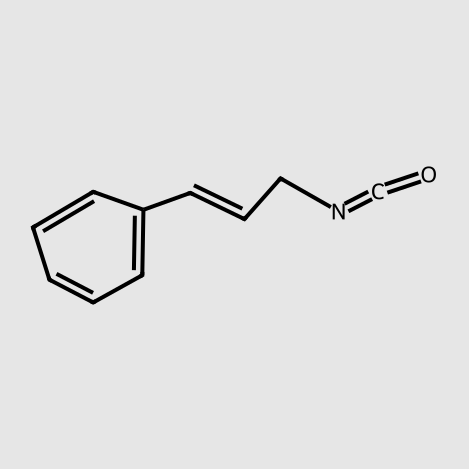 O=C=NCC=Cc1ccccc1